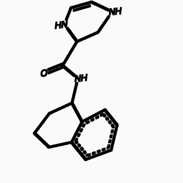 O=C(NC1CCCc2ccccc21)C1CNC=CN1